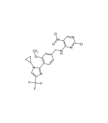 COc1cc(CNc2nc(Cl)ncc2[N+](=O)[O-])ccc1-c1nc(C(F)(F)F)cn1C1CC1